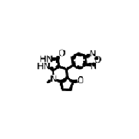 CN1C2=C(C(=O)CC2)C(c2ccc3nonc3c2)c2c1[nH][nH]c2=O